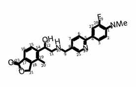 CNc1ccc(-c2ccc(CNCC(O)c3ccc4c(c3C)COC4=O)cn2)cc1F